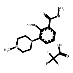 CCCCCc1c(C(=O)NN)cccc1N1CCN(C)CC1.O=C(O)C(F)(F)F